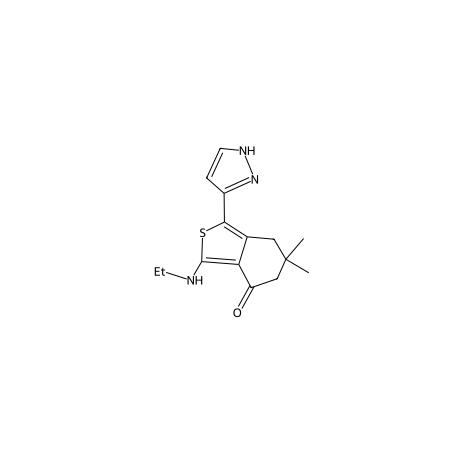 CCNc1sc(-c2cc[nH]n2)c2c1C(=O)CC(C)(C)C2